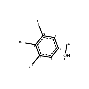 CO.Ic1cccc(I)c1I